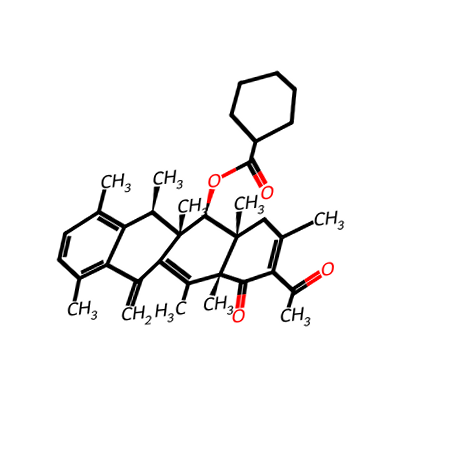 C=C1C2=C(C)[C@@]3(C)C(=O)C(C(C)=O)=C(C)C[C@@]3(C)[C@H](OC(=O)C3CCCCC3)[C@@]2(C)[C@H](C)c2c(C)ccc(C)c21